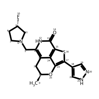 C[C@H]1Cc2c(CN3CC[C@H](F)C3)[nH]c(=O)c3sc(-c4cn[nH]c4)c(c23)O1